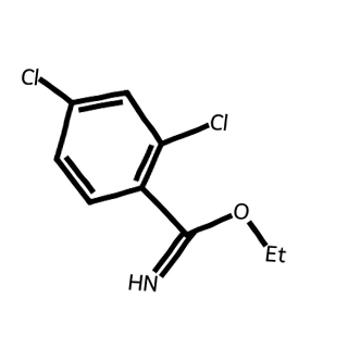 CCOC(=N)c1ccc(Cl)cc1Cl